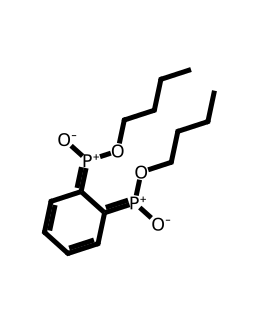 CCCCO/[P+]([O-])=C1/C=CC=C/C1=[P+](\[O-])OCCCC